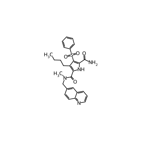 CCCCc1c(C(=O)N(C)Cc2ccc3ncccc3c2)[nH]c(C(N)=O)c1S(=O)(=O)c1ccccc1